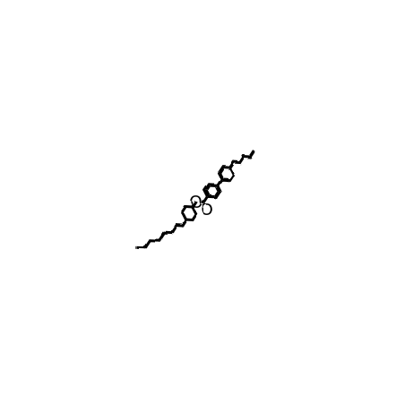 CCCCCCCCC1CCC(OC(=O)c2ccc(C3=CCC(CCCCC)CC3)cc2)CC1